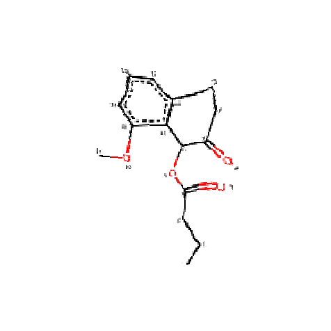 CCCC(=O)OC1C(=O)CCc2cccc(OC)c21